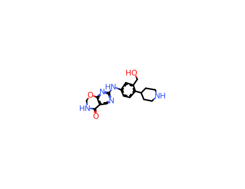 O=C1NCOc2nc(Nc3ccc(C4CCNCC4)c(CO)c3)ncc21